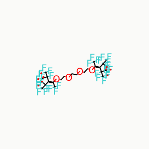 FC(F)(F)C(OCCOCCOCCOC(=C(C(F)(C(F)(F)F)C(F)(F)F)C(F)(C(F)(F)F)C(F)(F)F)C(F)(F)F)=C(C(F)(C(F)(F)F)C(F)(F)F)C(F)(C(F)(F)F)C(F)(F)F